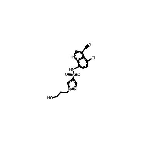 N#Cc1c[nH]c2c(NS(=O)(=O)c3cnn(CCCO)c3)ccc(Cl)c12